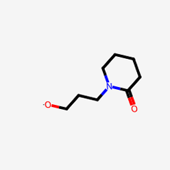 [O]CCCN1CCCCC1=O